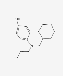 CCCCN(CC1CCCCC1)c1ccc(O)cc1